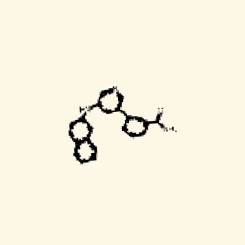 NC(=O)c1cccc(-c2cncc(Nc3ccc4ccccc4c3)c2)c1